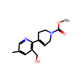 Cc1cnc(C2=CCN(C(=O)OC(C)(C)C)CC2)c(CO)c1